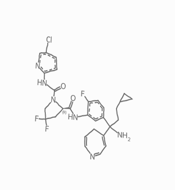 NC(CCC1CC1)(C1=CC=NC=CC1)c1ccc(F)c(NC(=O)[C@H]2CC(F)(F)CN2C(=O)Nc2ccc(Cl)cn2)c1